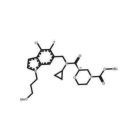 COCCCn1ccc2c(Cl)c(F)c(CN(C(=O)[C@H]3CN(C(=O)OC(C)(C)C)CCO3)C3CC3)cc21